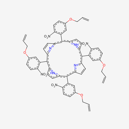 C=CCOc1ccc([N+](=O)[O-])c(-c2c3nc(c(-c4cc(OCC=C)ccc4[N+](=O)[O-])c4ccc([nH]4)c(-c4cc(OCC=C)ccc4[N+](=O)[O-])c4nc(c(-c5cc(OCC=C)ccc5[N+](=O)[O-])c5ccc2[nH]5)C=C4)C=C3)c1